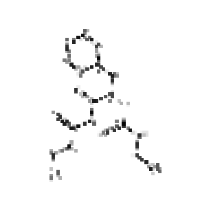 CCOC(=O)CC(=O)N(CC(=O)OCC)Cc1ccccc1